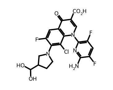 Nc1nc(-n2cc(C(=O)O)c(=O)c3cc(F)c(N4CCC(C(O)O)C4)c(Cl)c32)c(F)cc1F